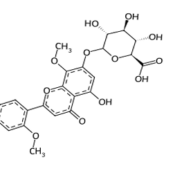 COc1ccccc1-c1cc(=O)c2c(O)cc(OC3O[C@H](C(=O)O)[C@@H](O)[C@H](O)[C@H]3O)c(OC)c2o1